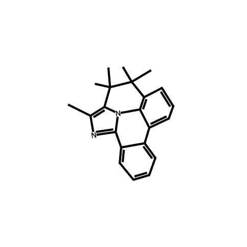 Cc1nc2c3ccccc3c3cccc4c3n2c1C(C)(C)C4(C)C